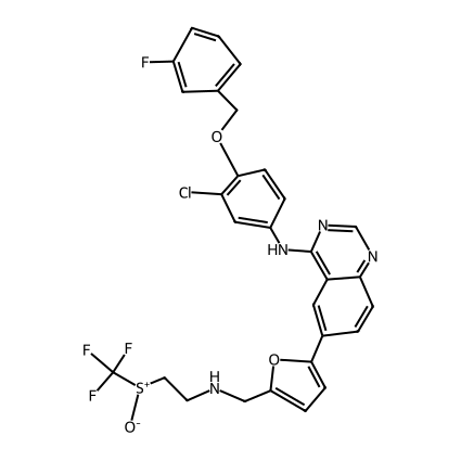 [O-][S+](CCNCc1ccc(-c2ccc3ncnc(Nc4ccc(OCc5cccc(F)c5)c(Cl)c4)c3c2)o1)C(F)(F)F